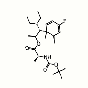 CCC(CC)[C@@H]([C@H](C)OC(=O)[C@H](C)NC(=O)OC(C)(C)C)C1(C)C=CC(F)=CC1C